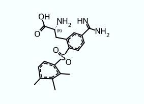 Cc1ccc(S(=O)(=O)c2ccc(C(=N)N)cc2C[C@@H](N)C(=O)O)c(C)c1C